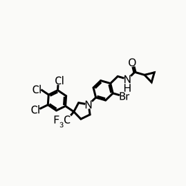 O=C(NCc1ccc(N2CCC(c3cc(Cl)c(Cl)c(Cl)c3)(C(F)(F)F)C2)cc1Br)C1CC1